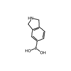 OB(O)c1ccc2c(c1)CNC2